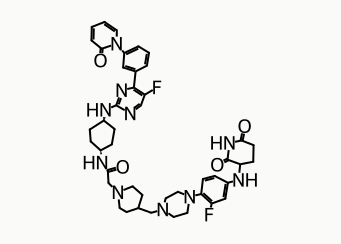 O=C1CCC(Nc2ccc(N3CCN(CC4CCN(CC(=O)N[C@H]5CC[C@H](Nc6ncc(F)c(-c7cccc(-n8ccccc8=O)c7)n6)CC5)CC4)CC3)c(F)c2)C(=O)N1